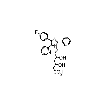 O=C(O)C[C@H](O)C[C@H](O)CCn1c(-c2ccccc2)nc(-c2ccc(F)cc2)c1-c1ccncn1